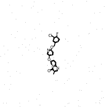 Cc1cnc2ccc(Oc3ccc(OCc4ccc(F)c(Cl)c4)nc3)cn2c1=O